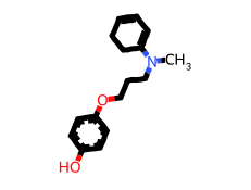 CN(CCCOc1ccc(O)cc1)C1=CC=CCC1